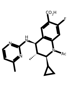 CC(=O)N1c2cc(F)c(C(=O)O)cc2[C@H](Nc2nccc(C)n2)[C@@H](C)[C@@H]1C1CC1